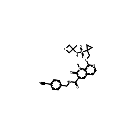 Cn1c(=O)c(C(=O)NCc2ccc(C#N)cc2)cc2ccnc(OCC3(S(=O)(=O)NC4(C)COC4)CC3)c21